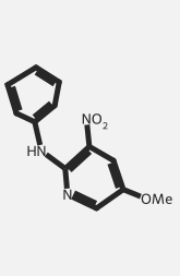 COc1cnc(Nc2ccccc2)c([N+](=O)[O-])c1